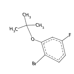 CC(C)(C)Oc1cc(F)ccc1Br